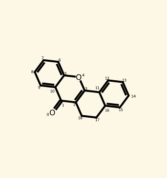 O=c1c2c(oc3ccccc13)-c1ccccc1CC2